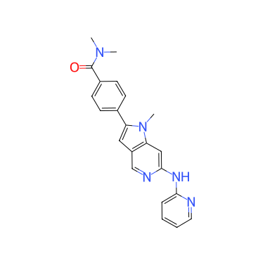 CN(C)C(=O)c1ccc(-c2cc3cnc(Nc4ccccn4)cc3n2C)cc1